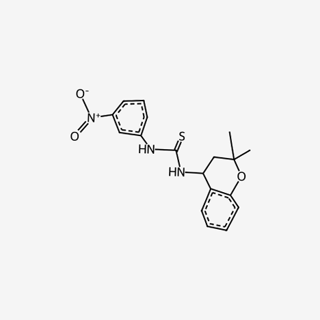 CC1(C)CC(NC(=S)Nc2cccc([N+](=O)[O-])c2)c2ccccc2O1